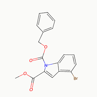 COC(=O)c1cc2c(Br)cccc2n1C(=O)OCc1ccccc1